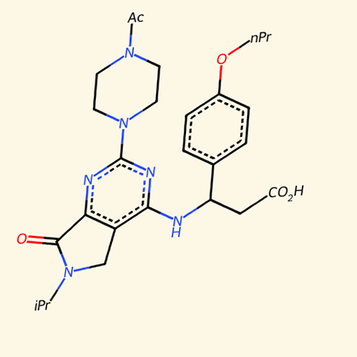 CCCOc1ccc(C(CC(=O)O)Nc2nc(N3CCN(C(C)=O)CC3)nc3c2CN(C(C)C)C3=O)cc1